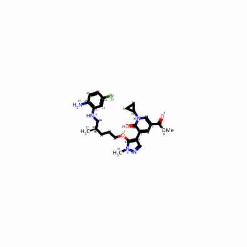 COC(=O)c1cc(-c2cnn(C)c2OCCC[C@@H](C)CNc2cc(Br)ccc2N)c(=O)n(C2CC2)c1